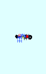 O=C(Nc1nnc(N2C[C@@H]3C[C@H]2CN3C2CCCCCC2)s1)NC1CCCC1